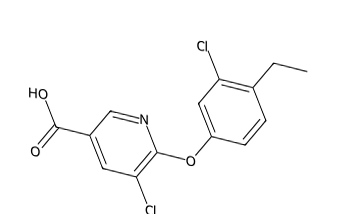 CCc1ccc(Oc2ncc(C(=O)O)cc2Cl)cc1Cl